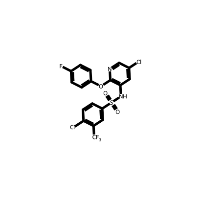 O=S(=O)(Nc1cc(Cl)cnc1Oc1ccc(F)cc1)c1ccc(Cl)c(C(F)(F)F)c1